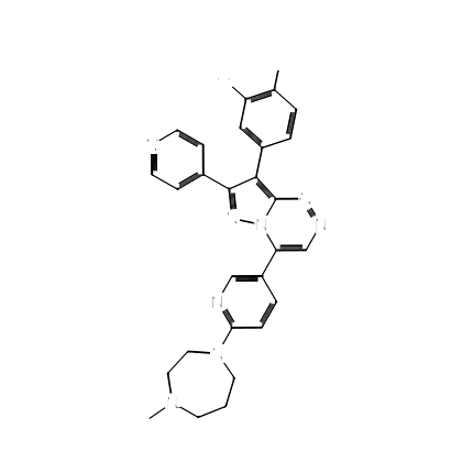 CN1CCCN(c2ccc(-c3cnnc4c(-c5ccc(Cl)c(O)c5)c(-c5ccncc5)nn34)cn2)CC1